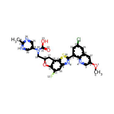 COc1cnc2c(-c3nc4cc(F)c5c(c4s3)CC(CN(C(=O)O)c3cnc(C)nc3)O5)cc(Cl)cc2c1